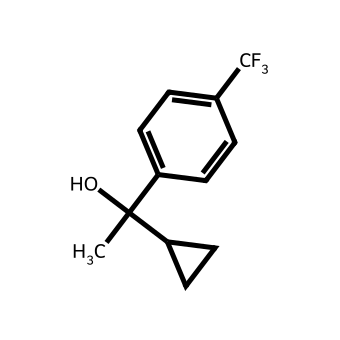 CC(O)(c1ccc(C(F)(F)F)cc1)C1CC1